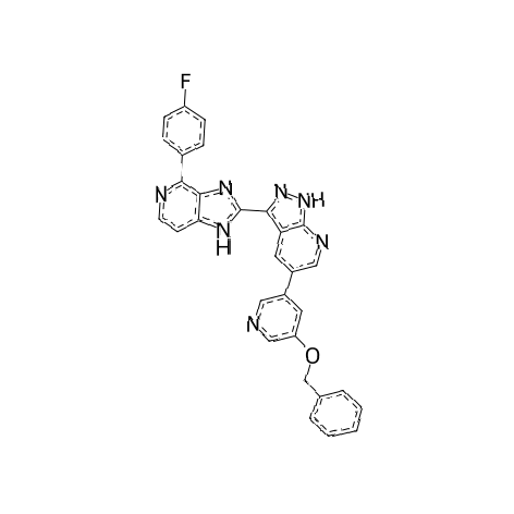 Fc1ccc(-c2nccc3[nH]c(-c4n[nH]c5ncc(-c6cncc(OCc7ccccc7)c6)cc45)nc23)cc1